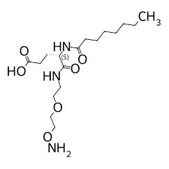 CCCCCCCC(=O)N[C@@H](CCC(=O)O)C(=O)NCCOCCON